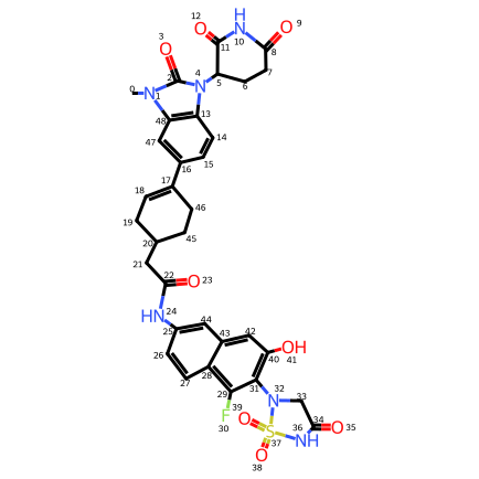 Cn1c(=O)n(C2CCC(=O)NC2=O)c2ccc(C3=CCC(CC(=O)Nc4ccc5c(F)c(N6CC(=O)NS6(=O)=O)c(O)cc5c4)CC3)cc21